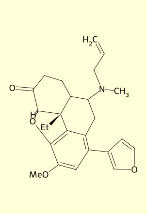 C=CCN(C)C1Cc2c(-c3ccoc3)cc(OC)c3c2[C@@]2(CC)C1CCC(=O)[C@H]2O3